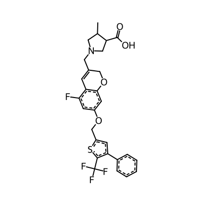 CC1CN(CC2=Cc3c(F)cc(OCc4cc(-c5ccccc5)c(C(F)(F)F)s4)cc3OC2)CC1C(=O)O